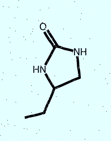 CCC1CNC(=O)N1